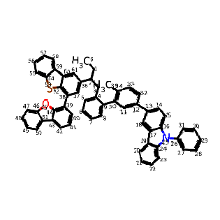 CCC(Cc1ccccc1-c1cc(-c2ccc3c(c2)c2ccccc2n3-c2ccccc2)ccc1C)c1cc(-c2cccc3c2oc2ccccc23)c2sc3ccccc3c2c1